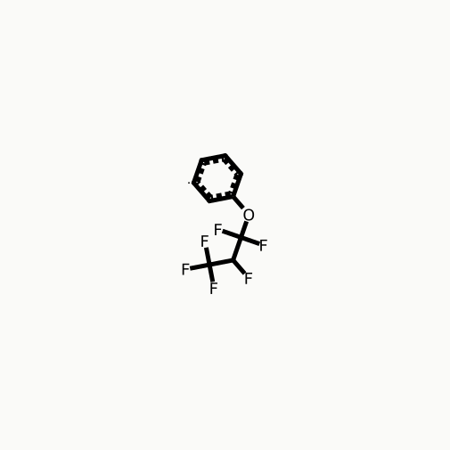 FC(C(F)(F)F)C(F)(F)Oc1c[c]ccc1